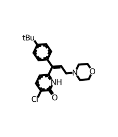 CC(C)(C)c1ccc(/C(=C/CN2CCOCC2)c2ccc(Cl)c(=O)[nH]2)cc1